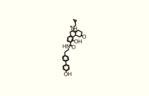 CN(CC1CC1)[C@@H]1Cc2ccc(C(=O)NCCc3ccc(-c4ccc(O)cc4)cc3)c(O)c2C2CC(=O)CC[C@H]21